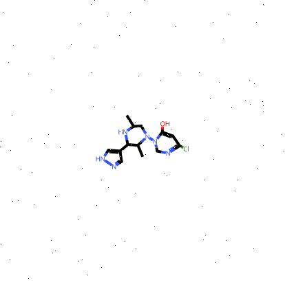 CC1CN(N2CN=C(Cl)C=C2O)C(C)C(c2cn[nH]c2)N1